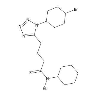 CCN(C(=S)CCCc1nnnn1C1CCC(Br)CC1)C1CCCCC1